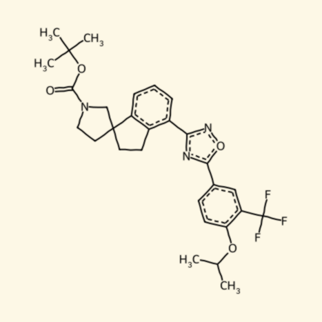 CC(C)Oc1ccc(-c2nc(-c3cccc4c3CCC43CCN(C(=O)OC(C)(C)C)C3)no2)cc1C(F)(F)F